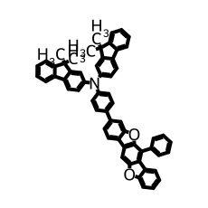 CC1(C)c2ccccc2-c2ccc(N(c3ccc(-c4ccc5c(c4)oc4c(-c6ccccc6)c6c(cc45)oc4ccccc46)cc3)c3ccc4c(c3)C(C)(C)c3ccccc3-4)cc21